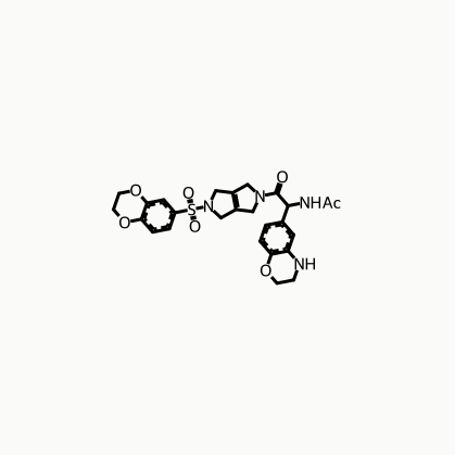 CC(=O)NC(C(=O)N1CC2=C(C1)CN(S(=O)(=O)c1ccc3c(c1)OCCO3)C2)c1ccc2c(c1)NCCO2